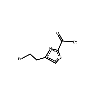 CCC(=O)c1nc(CCBr)cs1